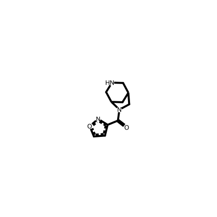 O=C(c1ccon1)N1CC2CNCC1C2